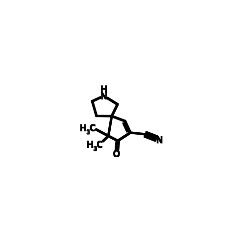 CC1(C)C(=O)C(C#N)=CC12CCNC2